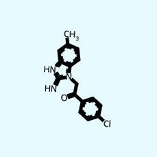 Cc1ccc2c(c1)[nH]c(=N)n2CC(=O)c1ccc(Cl)cc1